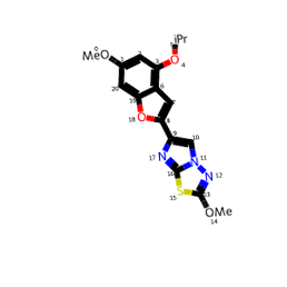 COc1cc(OC(C)C)c2cc(-c3cn4nc(OC)sc4n3)oc2c1